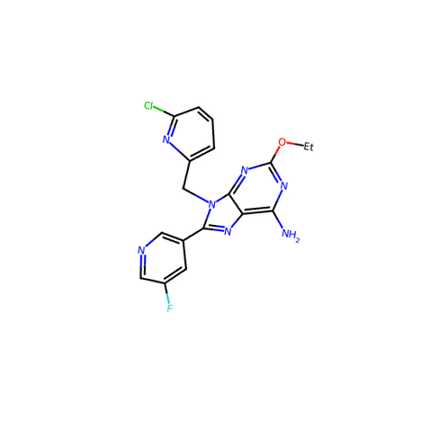 CCOc1nc(N)c2nc(-c3cncc(F)c3)n(Cc3cccc(Cl)n3)c2n1